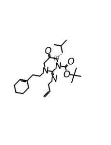 C=CCN=C1N(CCC2=CCCCC2)CC(=O)[C@H](CC(C)C)N1C(=O)OC(C)(C)C